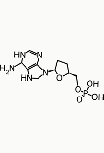 NC1NC=NC2=C1NCN2[C@H]1CC[C@@H](COP(=O)(O)O)O1